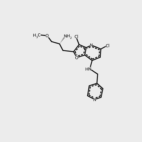 COC[C@H](N)Cc1oc2c(NCc3ccncc3)cc(Cl)nc2c1Cl